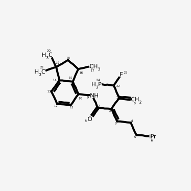 C=C(/C(=C\CCC(C)C)C(=O)Nc1cccc2c1C(C)CC2(C)C)C(F)P